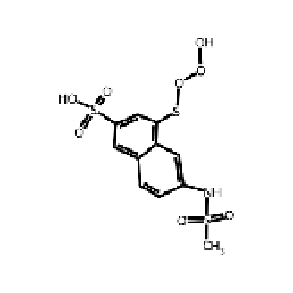 CS(=O)(=O)Nc1ccc2cc(S(=O)(=O)O)cc(SOOO)c2c1